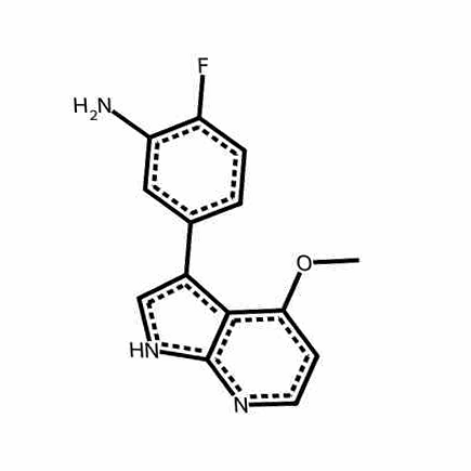 COc1ccnc2[nH]cc(-c3ccc(F)c(N)c3)c12